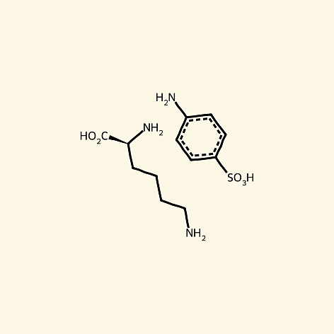 NCCCC[C@H](N)C(=O)O.Nc1ccc(S(=O)(=O)O)cc1